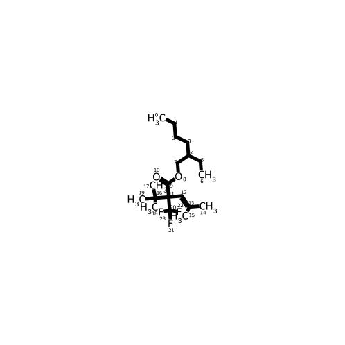 CCCCC(CC)COC(=O)C(C=C(C)C)(C(C)(C)C)C(F)(F)F